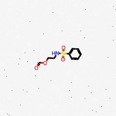 O=[C]OCCNS(=O)(=O)c1ccccc1